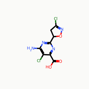 Nc1nc(C2CC(Cl)=NO2)nc(C(=O)O)c1Cl